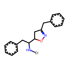 CCNC(Cc1ccccc1)C1CC(Cc2ccccc2)=NO1